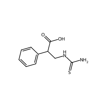 NC(=S)NCC(C(=O)O)c1ccccc1